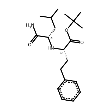 CC(C)C[C@H](N[C@@H](CCc1ccccc1)C(=O)OC(C)(C)C)C(N)=O